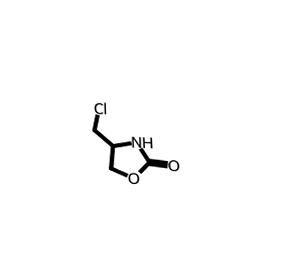 O=C1NC(CCl)CO1